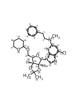 CN(CCc1ccccc1)c1cc(Cl)c2ncn([C@@H]3O[C@H](COC4CCCCO4)[C@H]4OC(C)(C)O[C@H]43)c2n1